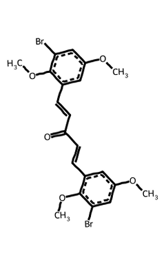 COc1cc(Br)c(OC)c(C=CC(=O)C=Cc2cc(OC)cc(Br)c2OC)c1